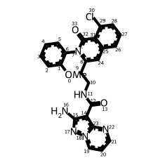 COc1ccccc1-n1c(CCNC(=O)c2c(N)nn3cccnc23)cc2cccc(Cl)c2c1=O